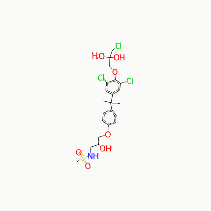 CC(C)(c1ccc(OC[C@H](O)CNS(C)(=O)=O)cc1)c1cc(Cl)c(OCC(O)(O)CCl)c(Cl)c1